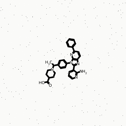 CC(c1ccc(-n2c(-c3cccnc3N)nc3ccc(-c4ccccc4)nc32)cc1)N1CCC(C(=O)O)CC1